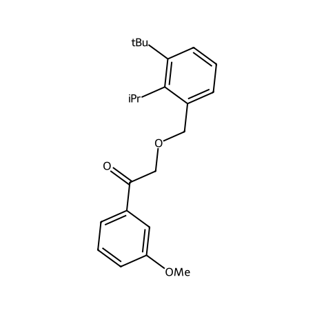 COc1cccc(C(=O)COCc2cccc(C(C)(C)C)c2C(C)C)c1